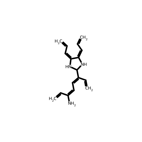 C=C/C=C1/NC(/C(C=C)=C/C=C(/N)C=C)N/C1=C/C=C